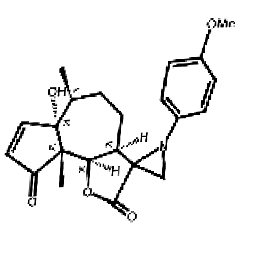 COc1ccc(N2CC23C(=O)O[C@@H]2[C@H]3CC[C@H](C)[C@]3(O)C=CC(=O)[C@@]23C)cc1